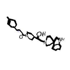 Cc1ccc(/C=C/C(=O)N2CCC(C(O)CN3CCC4(CC3)CNc3ccccc34)CC2)cc1